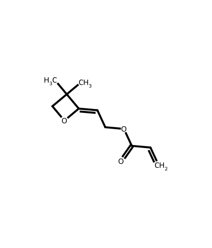 C=CC(=O)OCC=C1OCC1(C)C